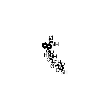 O=C(CCP(=O)(O)CCN1C(=O)CC(S)C1=O)NNC(=O)Oc1cc2c(c3ccccc13)[C@H](CCl)CN2